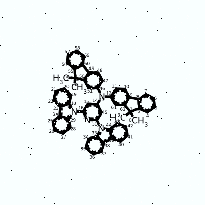 CC1(C)c2ccccc2-c2ccc(N(c3cc(-n4c5ccccc5c5ccccc54)nc(-n4c5ccccc5c5ccccc54)c3)c3ccc4c(c3)C(C)(C)c3ccccc3-4)cc21